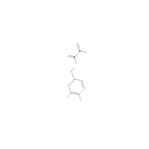 C=C(Cl)C(=O)OCc1ccc(O)c(C(=O)O)c1